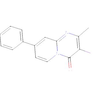 Cc1nc2cc(-c3ccccc3)ccn2c(=O)c1I